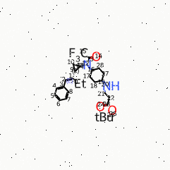 CC/C(=C\c1ccccc1)[C@@H]1C[C@H]1N(C(=O)C(F)(F)F)C1CCC(NCCC(=O)OC(C)(C)C)CC1